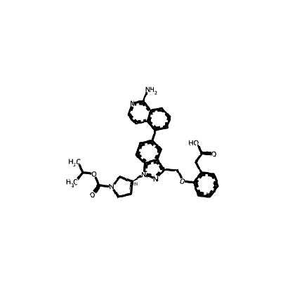 CC(C)OC(=O)N1CC[C@H](n2nc(COc3ccccc3CC(=O)O)c3cc(-c4cccc5c(N)nccc45)ccc32)C1